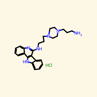 Cl.NCCCN1CCN(CCCNc2nc3ccccc3c3[nH]c4ccccc4c23)CC1